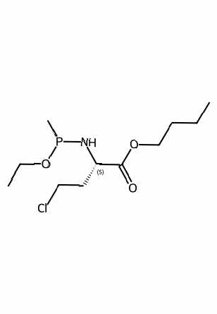 CCCCOC(=O)[C@H](CCCl)NP(C)OCC